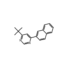 CC(C)(C)c1cc(-c2ccc3ccccc3c2)ncn1